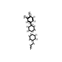 FCC[C@H]1CC[C@H](C2CCC(c3ccc(F)c(F)c3)CC2)CC1